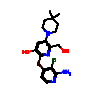 CC1(C)CCN(c2cc(O)c(Sc3ccnc(N)c3Cl)nc2CO)CC1